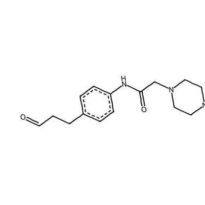 O=CCCc1ccc(NC(=O)CN2CCNCC2)cc1